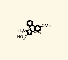 COc1cccc(-c2ccccc2-n2c(C)cc(C(=O)O)c2C)c1